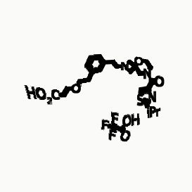 CC(C)c1nc(C(=O)N2CCOC3(CN(CCc4cccc(CCOCCC(=O)O)c4)C3)C2)cs1.O=C(O)C(F)(F)F